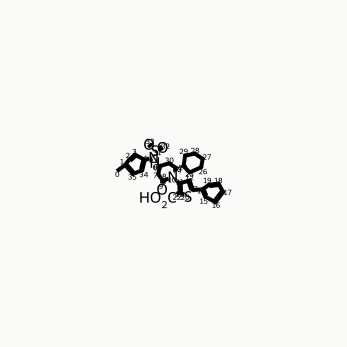 Cc1ccc(N([C@H]2CC(=O)N(c3cc(-c4ccccc4)sc3C(=O)O)[C@@H](C3CCCCC3)C2)[SH](=O)=O)cc1